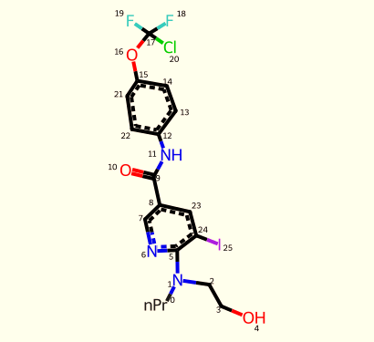 CCCN(CCO)c1ncc(C(=O)Nc2ccc(OC(F)(F)Cl)cc2)cc1I